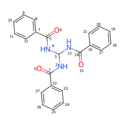 O=C(NC(NC(=O)c1ccccc1)NC(=O)c1ccccc1)c1ccccc1